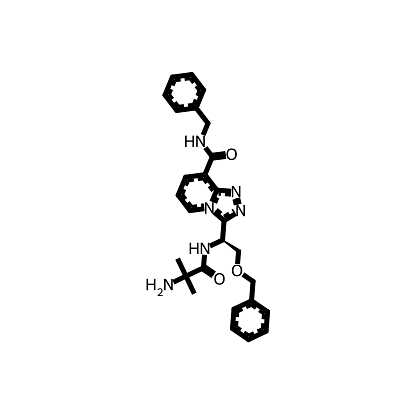 CC(C)(N)C(=O)N[C@H](COCc1ccccc1)c1nnc2c(C(=O)NCc3ccccc3)cccn12